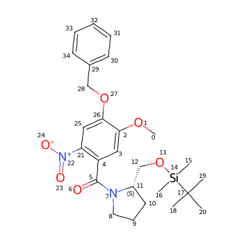 COc1cc(C(=O)N2CCC[C@H]2CO[Si](C)(C)C(C)(C)C)c([N+](=O)[O-])cc1OCc1ccccc1